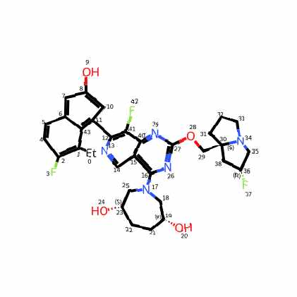 CCc1c(F)ccc2cc(O)cc(-c3ncc4c(N5C[C@H](O)CC[C@H](O)C5)nc(OC[C@@]56CCCN5C[C@H](F)C6)nc4c3F)c12